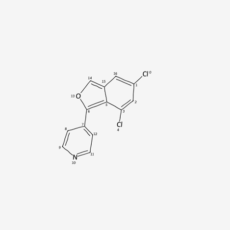 Clc1cc(Cl)c2c(-c3ccncc3)occ2c1